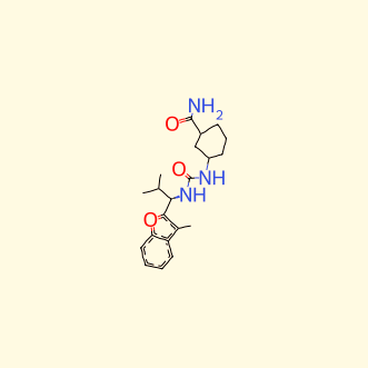 Cc1c([C@H](NC(=O)NC2CCCC(C(N)=O)C2)C(C)C)oc2ccccc12